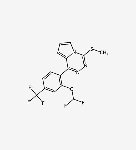 CSc1nnc(-c2ccc(C(F)(F)F)cc2OC(F)F)c2cccn12